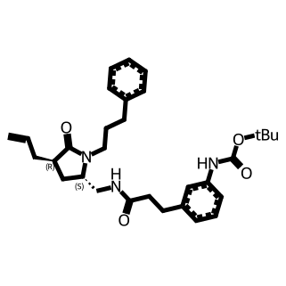 C=CC[C@@H]1C[C@@H](CNC(=O)CCc2cccc(NC(=O)OC(C)(C)C)c2)N(CCCc2ccccc2)C1=O